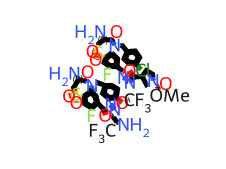 COC(=O)N1CCC(c2nnc(-c3cc4c(cc3F)S(=O)(=O)C[C@H](N)C(=O)N4Cc3ccc(Cl)cc3)o2)C1.NC(c1nnc(-c2cc3c(cc2F)S(=O)(=O)C[C@H](N)C(=O)N3Cc2ccc(OC(F)(F)F)cc2)o1)C(F)(F)F